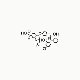 CCc1cc(Oc2ccc(C[C@@H](CO)N(Cc3ccccc3)C[C@H](O)c3cccc(Cl)c3)cc2)c2ccc(NC(=O)O)cc2n1